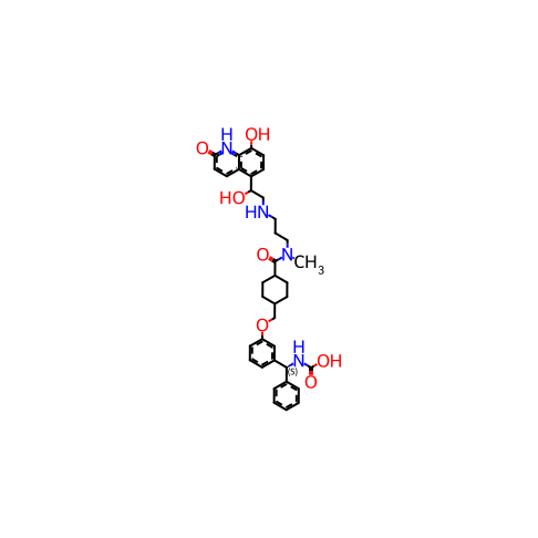 CN(CCCNCC(O)c1ccc(O)c2[nH]c(=O)ccc12)C(=O)C1CCC(COc2cccc([C@@H](NC(=O)O)c3ccccc3)c2)CC1